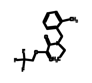 CCN(Cc1ccccc1C)C(=O)C(=O)OCC(F)(F)F